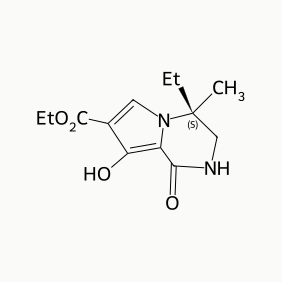 CCOC(=O)c1cn2c(c1O)C(=O)NC[C@]2(C)CC